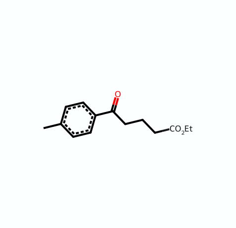 CCOC(=O)CCCC(=O)c1ccc(C)cc1